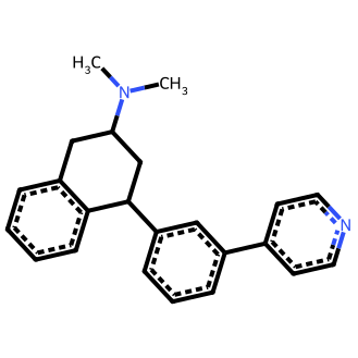 CN(C)C1Cc2ccccc2C(c2cccc(-c3ccncc3)c2)C1